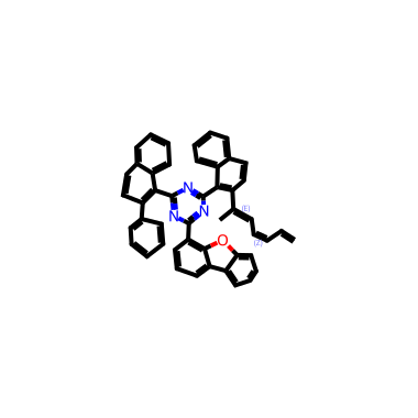 C=C/C=C\C=C(/C)c1ccc2ccccc2c1-c1nc(-c2c(-c3ccccc3)ccc3ccccc23)nc(-c2cccc3c2oc2ccccc23)n1